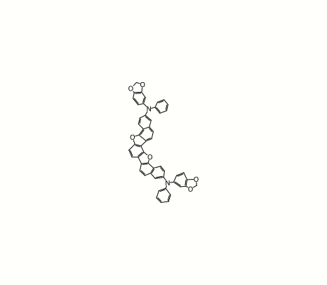 c1ccc(N(c2ccc3c(c2)OCO3)c2ccc3c(ccc4c5ccc6oc7c8ccc(N(c9ccccc9)c9ccc%10c(c9)OCO%10)cc8ccc7c6c5oc34)c2)cc1